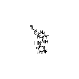 C=CCOc1ncc(F)c(NNc2cccc(F)n2)n1